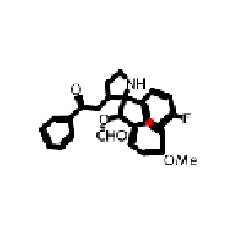 COc1ccc(C(OC=O)C2(c3ccc(F)cc3)NCCC2CC(=O)c2ccccc2)cc1